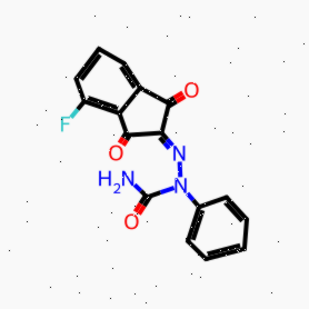 NC(=O)N(/N=c1/c(=O)c2cccc(F)c2c1=O)c1ccccc1